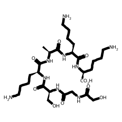 C[C@H](NC(=O)[C@H](CCCCN)NC(=O)[C@H](CO)NC(=O)CNC(=O)CO)C(=O)N[C@@H](CCCCN)C(=O)N[C@@H](CCCCN)C(=O)O